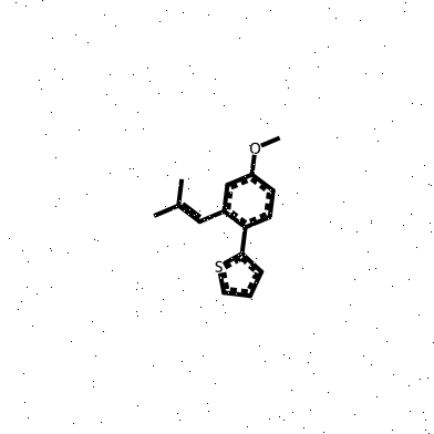 COc1ccc(-c2cccs2)c(C=C(C)C)c1